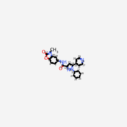 Cn1c(=O)oc2ccc(NC(=O)c3cc(-c4ccncc4)n(-c4ccccc4)n3)cc21